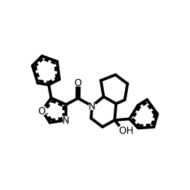 O=C(c1ncoc1-c1ccccc1)N1CCC(O)(c2ccccc2)C2CCCCC21